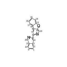 c1ccc2cc(-c3cc4c(cn3)oc3ccccc34)ncc2c1